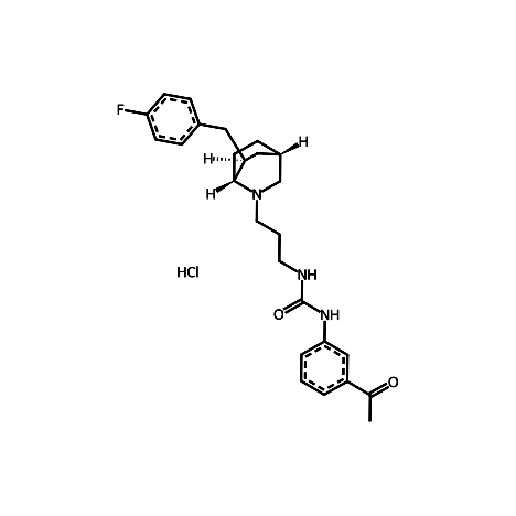 CC(=O)c1cccc(NC(=O)NCCCN2C[C@H]3CC[C@@H]2[C@@H](Cc2ccc(F)cc2)C3)c1.Cl